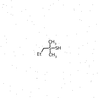 CCCS(C)(C)S